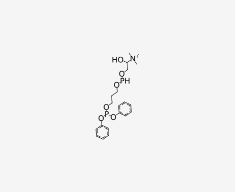 C[N+](C)(C)C(O)COPOCCCOP(Oc1ccccc1)Oc1ccccc1